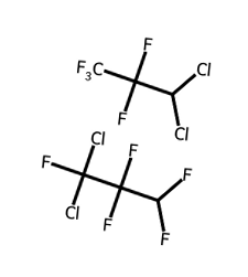 FC(F)(F)C(F)(F)C(Cl)Cl.FC(F)C(F)(F)C(F)(Cl)Cl